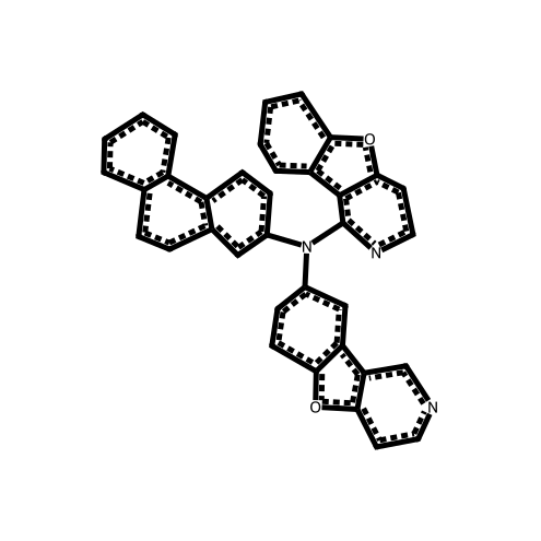 c1ccc2c(c1)ccc1cc(N(c3ccc4oc5ccncc5c4c3)c3nccc4oc5ccccc5c34)ccc12